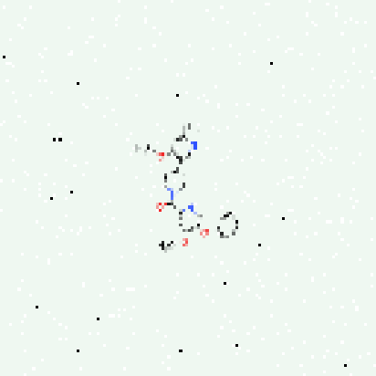 COc1cc(C(=O)N2CCC(c3cnc(C)cc3OC)CC2)ncc1Oc1ccccc1